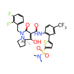 CN(C)S(=O)(=O)c1ccc(-c2cc(C(F)(F)F)ccc2NC(=O)C2=C(O)[C@@]3(C)CCCN3N(Cc3cccc(F)c3F)C2=O)s1